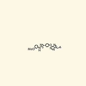 COc1cccc(Nc2ncc(-c3ccc(Oc4ncnc5c4ncn5CC4CC4)cc3)s2)c1